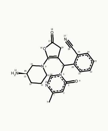 Cc1cc(=O)n(C(C2=C(N3CCC[C@@H](N)C3)OC(=O)C2)c2ccccc2C#N)cn1